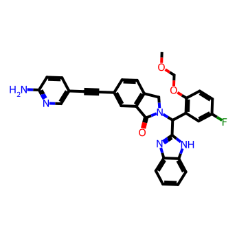 COCOc1ccc(F)cc1C(c1nc2ccccc2[nH]1)N1Cc2ccc(C#Cc3ccc(N)nc3)cc2C1=O